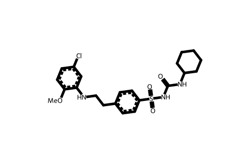 COc1ccc(Cl)cc1NCCc1ccc(S(=O)(=O)NC(=O)NC2CCCCC2)cc1